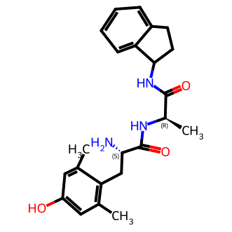 Cc1cc(O)cc(C)c1C[C@H](N)C(=O)N[C@H](C)C(=O)NC1CCc2ccccc21